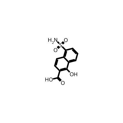 NS(=O)(=O)c1cccc2c(O)c(C(=O)O)ccc12